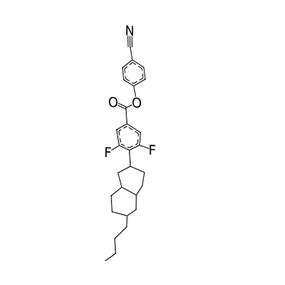 CCCCC1CCC2CC(c3c(F)cc(C(=O)Oc4ccc(C#N)cc4)cc3F)CCC2C1